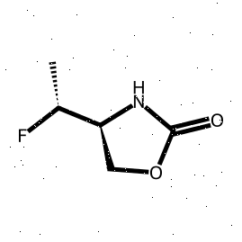 C[C@@H](F)[C@@H]1COC(=O)N1